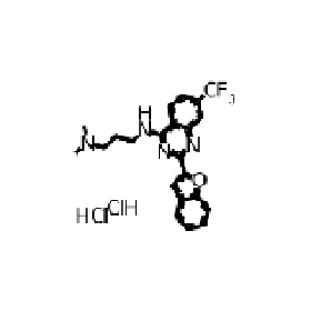 CN(C)CCCNc1nc(-c2cc3ccccc3o2)nc2cc(C(F)(F)F)ccc12.Cl.Cl